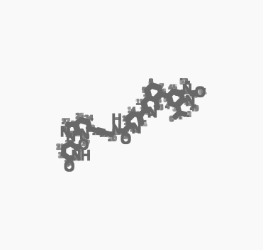 CC(C)c1cc(-c2cccc3cc(-c4ccc(C(=O)NCC#Cc5ccc6cnn(C7CCC(=O)NC7=O)c6n5)nc4)ncc23)cc2c1n(C)c(=O)n2C